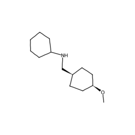 CO[C@H]1CC[C@@H](CNC2CCCCC2)CC1